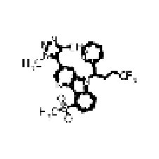 Cc1nnn(C)c1-c1cnc2c3c(S(C)(=O)=O)cccc3n(C(CCC(F)(F)F)c3ccccn3)c2c1